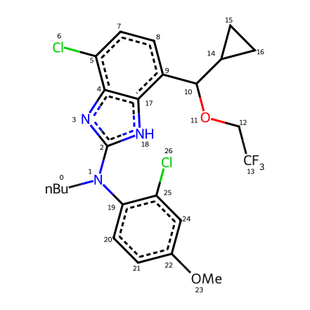 CCCCN(c1nc2c(Cl)ccc(C(OCC(F)(F)F)C3CC3)c2[nH]1)c1ccc(OC)cc1Cl